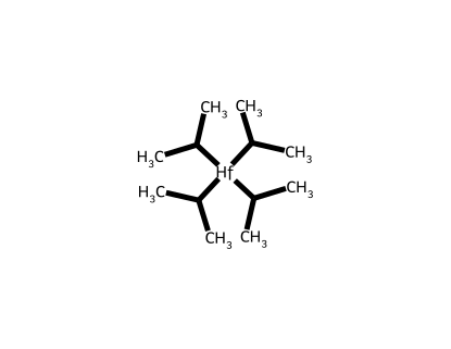 C[CH](C)[Hf]([CH](C)C)([CH](C)C)[CH](C)C